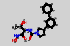 C[C@H](O)[C@@H](NC(=O)N1CCC(c2cccc(-c3ccccc3)c2)C1)C(=O)NO